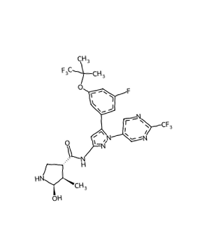 C[C@@H]1[C@@H](C(=O)Nc2cc(-c3cc(F)cc(OC(C)(C)C(F)(F)F)c3)n(-c3cnc(C(F)(F)F)nc3)n2)CN[C@@H]1O